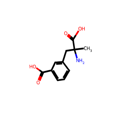 CC(N)(Cc1cccc(C(=O)O)c1)C(=O)O